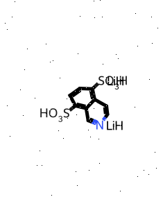 O=S(=O)(O)c1ccc(S(=O)(=O)O)c2cnccc12.[LiH].[LiH]